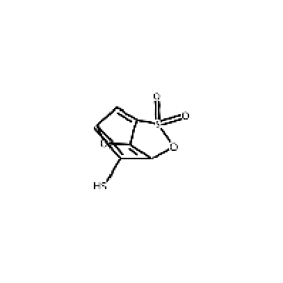 O=S1(=O)Oc2c(S)c3cc1c2o3